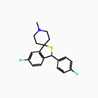 CN1CCC2(CC1)SC(c1ccc(F)cc1)c1ccc(F)cc12